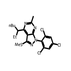 CCCCC(CC)c1nc(C)nc2c1c(SC)nn2-c1c(Cl)cc(Cl)cc1Cl